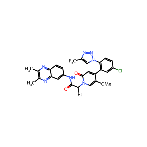 CCC(C(=O)Nc1ccc2nc(C)c(C)nc2c1)n1cc(OC)c(-c2cc(Cl)ccc2-n2cc(C(F)(F)F)nn2)cc1=O